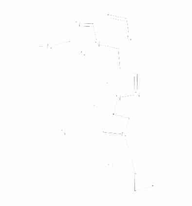 N#CCC1(n2cc(-c3nccc4nc(N)nn34)cn2)CN(S(=O)(=O)C2CC2)C1